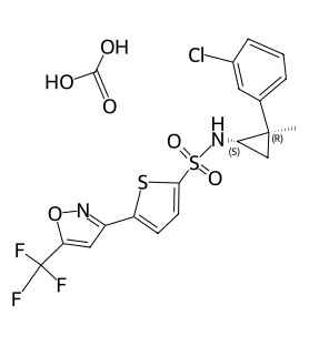 C[C@]1(c2cccc(Cl)c2)C[C@@H]1NS(=O)(=O)c1ccc(-c2cc(C(F)(F)F)on2)s1.O=C(O)O